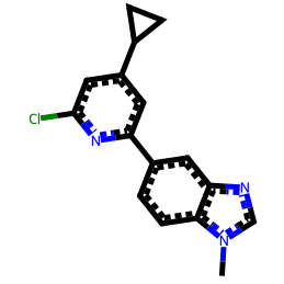 Cn1cnc2cc(-c3cc(C4CC4)cc(Cl)n3)ccc21